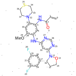 C=CC(=O)Nc1cc(Nc2cc(N3OCC[C@@H]3c3cc(F)cc(F)c3)ncn2)c(OC)cc1N1CCSCC1